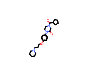 O=C(C1CCCC1)N1CCN(c2ccc(OCCCN3CCCCC3)cc2)C(=O)C1